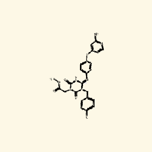 NOC(=O)Cn1c(=O)[nH]/c(=N\c2ccc(Oc3ccnc(N=O)c3)cc2)n(Cc2ccc(Cl)cc2)c1=O